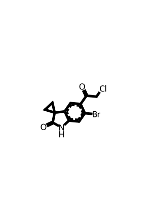 O=C(CCl)c1cc2c(cc1Br)NC(=O)C21CC1